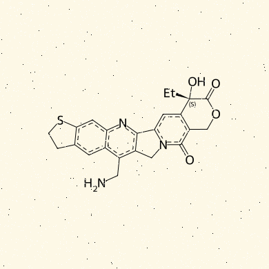 CC[C@@]1(O)C(=O)OCc2c1cc1n(c2=O)Cc2c-1nc1cc3c(cc1c2CN)CCS3